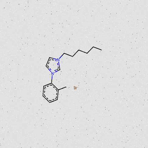 CCCCCCn1cc[n+](-c2ccccc2C)c1.[Br-]